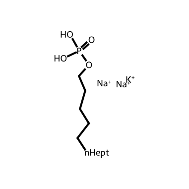 CCCCCCCCCCCCOP(=O)(O)O.[K+].[Na+].[Na+]